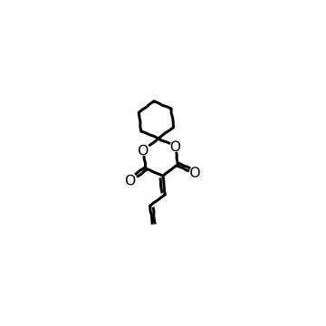 C=CC=C1C(=O)OC2(CCCCC2)OC1=O